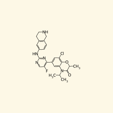 CC1Oc2c(Cl)cc(-c3nc(Nc4ccc5c(c4)CCNC5)ncc3F)cc2N(C(C)C)C1=O